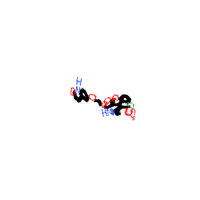 COOCC1=C(C)NC(COCCCOc2ccc3[nH]c(=O)ccc3c2)=C(C(=O)OC)C1c1ccccc1Cl